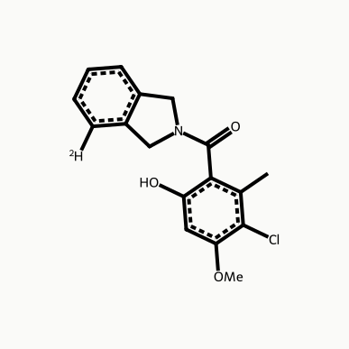 [2H]c1cccc2c1CN(C(=O)c1c(O)cc(OC)c(Cl)c1C)C2